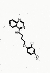 COc1ccc(OCCCNc2ncnc3ccccc23)c(Cl)c1